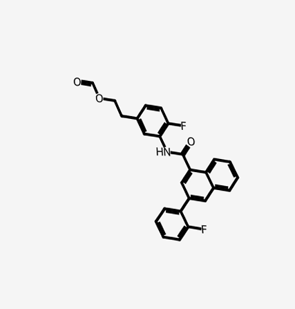 O=COCCc1ccc(F)c(NC(=O)c2cc(-c3ccccc3F)cc3ccccc23)c1